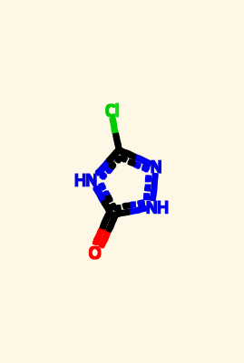 O=c1[nH]nc(Cl)[nH]1